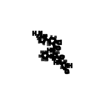 Nc1cccc(-c2ccc(Cl)c(C(=O)Nc3cc(C(=O)N[C@@H]4CNC(=O)C4)nn3-c3ccccc3)c2)n1